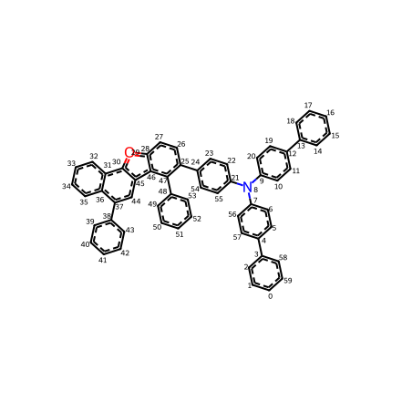 c1ccc(-c2ccc(N(c3ccc(-c4ccccc4)cc3)c3ccc(-c4ccc5oc6c7ccccc7c(-c7ccccc7)cc6c5c4-c4ccccc4)cc3)cc2)cc1